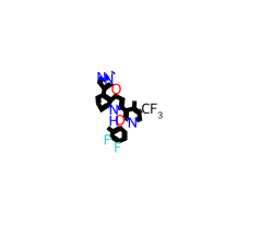 Cc1c(Oc2ncc(C(F)(F)F)c(C)c2-c2cc(=O)c3c(-c4cnn(C)c4)cccc3[nH]2)ccc(F)c1F